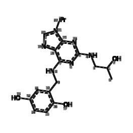 CC(O)CNc1nc(NCc2cc(O)ccc2O)c2ncn(C(C)C)c2n1